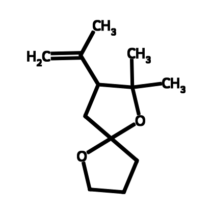 C=C(C)C1CC2(CCCO2)OC1(C)C